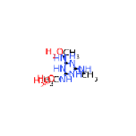 CNC1NC(NC)NC(NC)N1.O.O.O